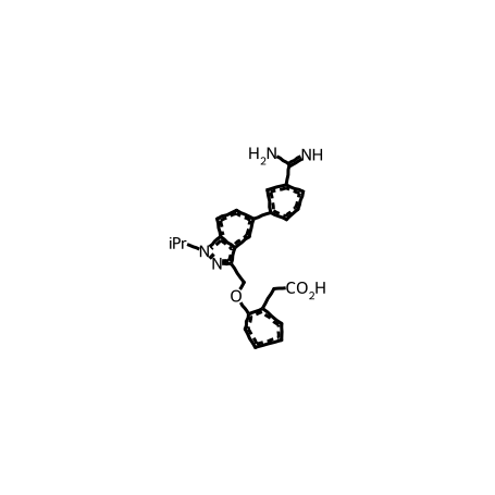 CC(C)n1nc(COc2ccccc2CC(=O)O)c2cc(-c3cccc(C(=N)N)c3)ccc21